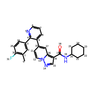 Cc1cc(-c2ncccc2-c2ccn3ncc(C(=O)NC4CCCCC4)c3c2)ccc1F